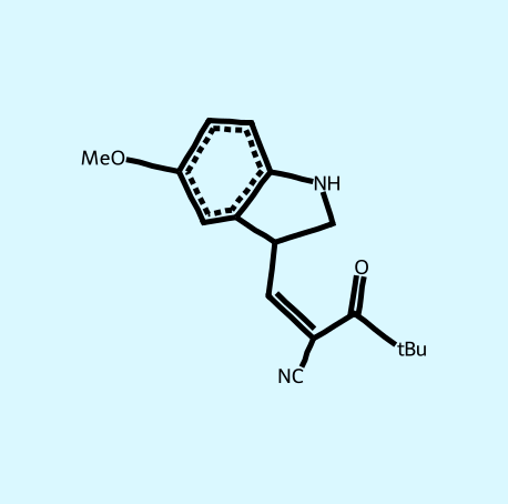 COc1ccc2c(c1)C(C=C(C#N)C(=O)C(C)(C)C)CN2